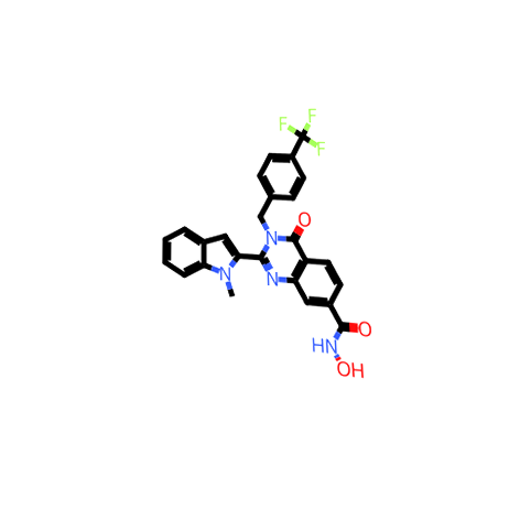 Cn1c(-c2nc3cc(C(=O)NO)ccc3c(=O)n2Cc2ccc(C(F)(F)F)cc2)cc2ccccc21